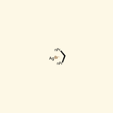 CCCCCCC.[Ag+].[Br-]